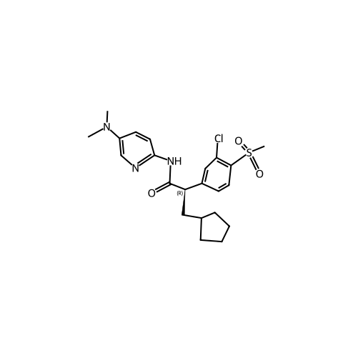 CN(C)c1ccc(NC(=O)[C@H](CC2CCCC2)c2ccc(S(C)(=O)=O)c(Cl)c2)nc1